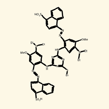 CCSc1nc(Nc2cc(N(CC)CC)c(OC)cc2/N=N/c2ccc(S(=O)(=O)O)c3ccccc23)nc(Nc2cc(N(CC)CC)c(OC)cc2/N=N/c2ccc(S(=O)(=O)O)c3ccccc23)n1